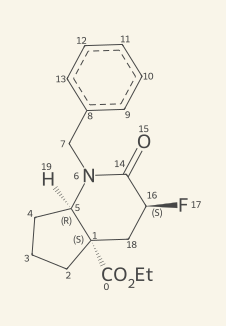 CCOC(=O)[C@]12CCC[C@H]1N(Cc1ccccc1)C(=O)[C@@H](F)C2